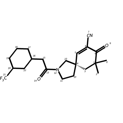 CC1(C)C[C@]2(C=C(C#N)C1=O)CCN(C(=O)CC1CCCC(C(F)(F)F)C1)C2